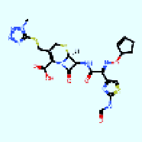 Cn1nnnc1SCC1=C(C(=O)O)N2C(=O)C(NC(=O)C(=NOC3C=CCC3)c3csc(NC=O)n3)[C@@H]2SC1